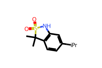 CC(C)c1ccc2c(c1)NS(=O)(=O)C2(C)C